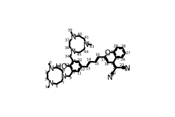 CN1CCN(C)CCN(Cc2cc(/C=C/C=C/C3=CC(=C(C#N)C#N)c4ccccc4O3)cc(CN3CCN(C)CCN(C)CC3)c2O)CC1